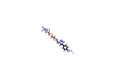 CN(C)NOCCOCCOCCn1cc(-c2ccc(N)cc2)nn1